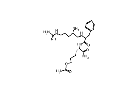 N=C(N)NCCC[C@@H](N)CN[C@@H](Cc1ccccc1)C(=O)N[C@@H](CCCCOC(N)=O)C(N)=O